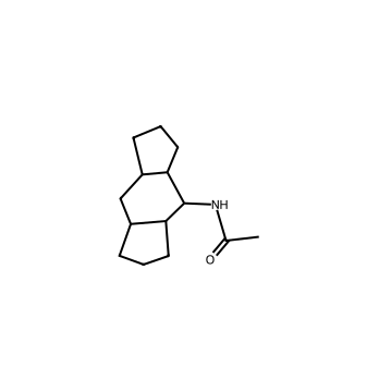 CC(=O)NC1C2CCCC2CC2CCCC21